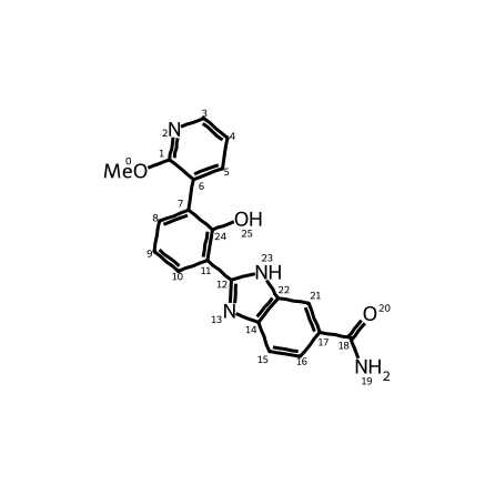 COc1ncccc1-c1cccc(-c2nc3ccc(C(N)=O)cc3[nH]2)c1O